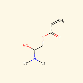 C=CC(=O)OCC(O)N(CC)CC